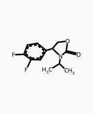 CC(C)N1C(=O)OCC1c1ccc(F)c(F)c1